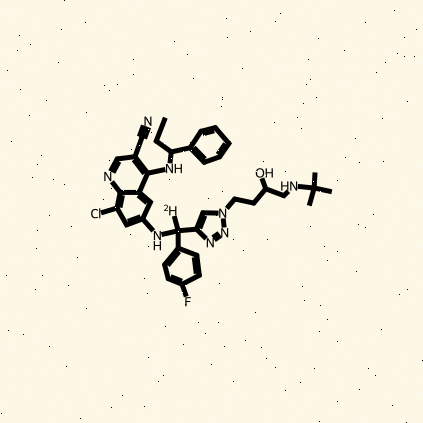 [2H]C(Nc1cc(Cl)c2ncc(C#N)c(NC(CC)c3ccccc3)c2c1)(c1ccc(F)cc1)c1cn(CCC(O)CNC(C)(C)C)nn1